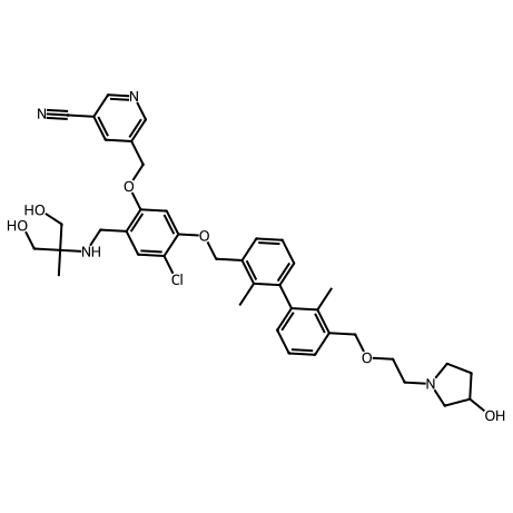 Cc1c(COCCN2CCC(O)C2)cccc1-c1cccc(COc2cc(OCc3cncc(C#N)c3)c(CNC(C)(CO)CO)cc2Cl)c1C